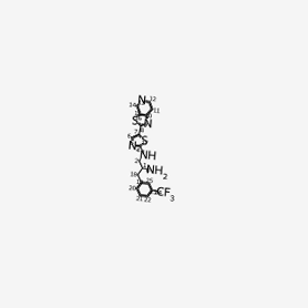 NC(CNc1ncc(-c2nc3ccncc3s2)s1)Cc1cccc(C(F)(F)F)c1